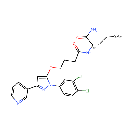 CSCC[C@H](NC(=O)CCCOc1cc(-c2cccnc2)nn1-c1ccc(Cl)c(Cl)c1)C(N)=O